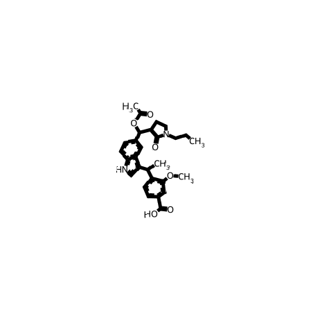 CCCN1CCC(C(OC(C)=O)c2ccc3[nH]cc(C(C)c4ccc(C(=O)O)cc4OC)c3c2)C1=O